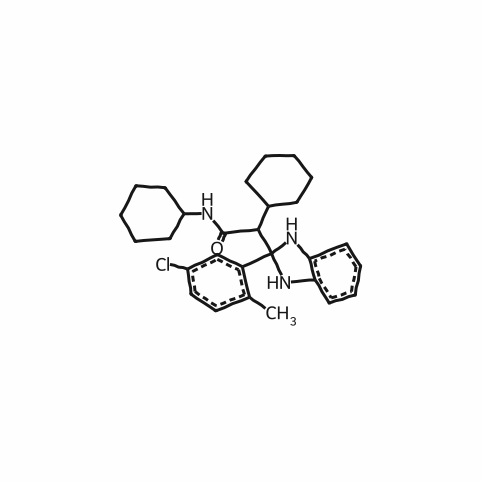 Cc1ccc(Cl)cc1C1(C(C(=O)NC2CCCCC2)C2CCCCC2)Nc2ccccc2N1